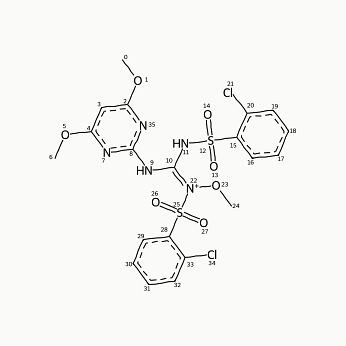 COc1cc(OC)nc(NC(NS(=O)(=O)c2ccccc2Cl)=[N+](OC)S(=O)(=O)c2ccccc2Cl)n1